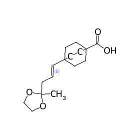 CC1(C/C=C/C23CCC(C(=O)O)(CC2)CC3)OCCO1